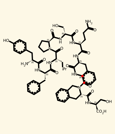 CC(C)C[C@H](NC(=O)[C@H](Cc1ccccc1)NC(=O)[C@H](N)Cc1ccc(O)cc1)C(=O)N1CCC[C@H]1C(=O)N[C@H](CO)C(=O)N[C@@H](CCC(N)=O)C(=O)N[C@@H](Cc1ccccc1)C(=O)N[C@H](C)C(=O)N1Cc2ccccc2C[C@H]1C(=O)N[C@@H](CO)C(=O)O